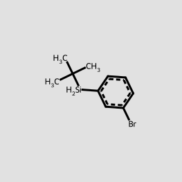 CC(C)(C)[SiH2]c1cccc(Br)c1